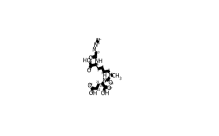 CN(CCCC[C@H](NC(=O)CN=[N+]=[N-])C(=O)O)C(=O)N[C@@H](CCC(=O)O)C(=O)O